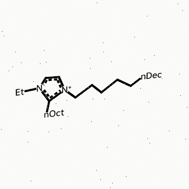 CCCCCCCCCCCCCCC[n+]1ccn(CC)c1CCCCCCCC